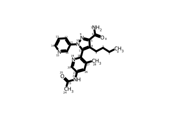 CCCCc1c(C(N)=O)nn(-c2cccnc2)c1-c1ncc(NC(C)=O)cc1C